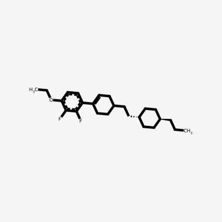 CCC[C@H]1CC[C@H](CCC2CC=C(c3ccc(OCC)c(F)c3F)CC2)CC1